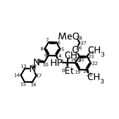 CCC(C)(Pc1ccccc1/C=N/N1CCCCC1)c1cc(C)cc(C)c1OCOC